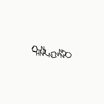 c1ccc(-c2ncc(CN3CCN(c4ncc5c(n4)CCCC5)CC3)[nH]2)cc1